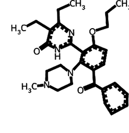 CCCOc1ccc(C(=O)c2ccccc2)c(N2CCN(C)CC2)c1-c1nc(CC)c(CC)c(=O)[nH]1